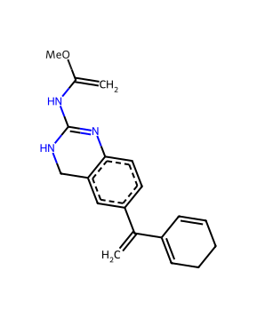 C=C(NC1=Nc2ccc(C(=C)C3=CCCC=C3)cc2CN1)OC